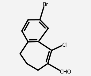 O=CC1=C(Cl)c2cc(Br)ccc2CCC1